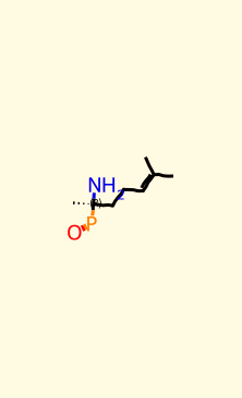 CC(C)=CCC[C@](C)(N)P=O